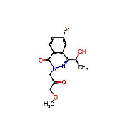 COCC(=O)Cn1nc(C(C)O)c2cc(Br)ccc2c1=O